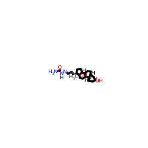 C[C@]12CC[C@H](O)C[C@H]1CC[C@@H]1[C@@H]2CC[C@]2(C)[C@@H](/C=C/C=N/NC(N)=O)CC[C@]12O